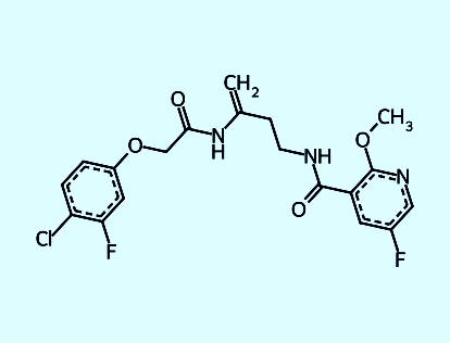 C=C(CCNC(=O)c1cc(F)cnc1OC)NC(=O)COc1ccc(Cl)c(F)c1